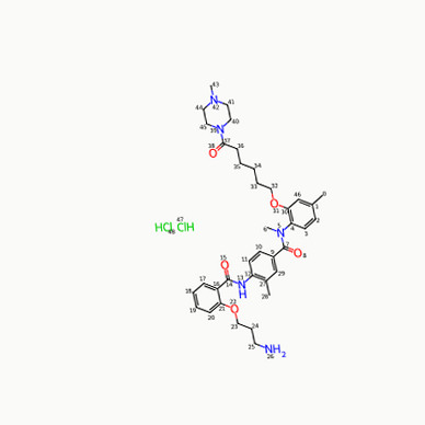 Cc1ccc(N(C)C(=O)c2ccc(NC(=O)c3ccccc3OCCCN)c(C)c2)c(OCCCCCC(=O)N2CCN(C)CC2)c1.Cl.Cl